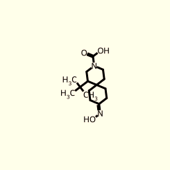 CC(C)(C)C1CN(C(=O)O)CCC12CCC(=NO)CC2